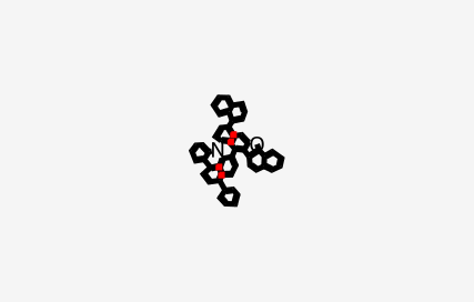 c1ccc(-c2ccc(-c3ccccc3N(c3ccc(-c4cccc5ccccc45)cc3)c3ccccc3-c3cccc4oc5c6ccccc6ccc5c34)cc2)cc1